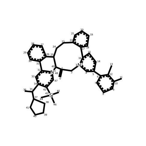 C=C1C[n+]2cc(-c3cccc(C)c3C)ccc2-c2ccccc2CCC2c3ccccc3-c3cc(C(C)C4CCCC4)c([Si](C)(C)C)c[n+]3C12